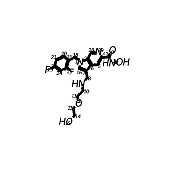 O=C(NO)c1cc2c(CNCCOCCO)cn(Cc3ccc(F)cc3F)c2cn1